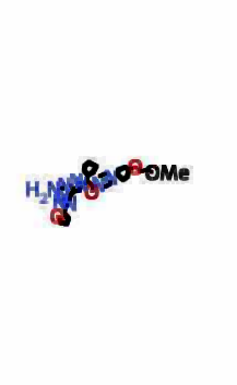 COCCOc1ccc(N2CCN(C(=O)C(c3ccccc3)n3cc4c(nc(N)n5nc(-c6ccco6)nc45)n3)CC2)cc1